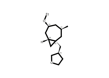 CCO[C@H]1C[C@@H](C)C[C@@]2(C[C@H]3CCOC3)C[C@@H]2C1